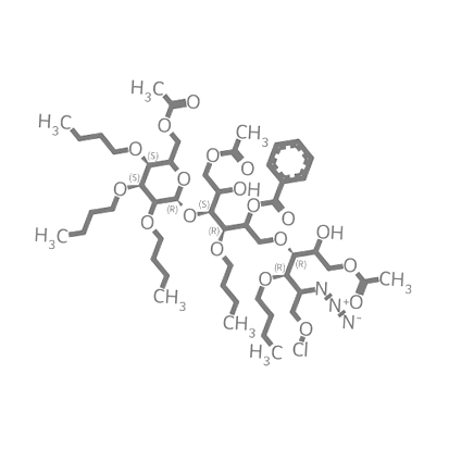 CCCCOC1[C@@H](O[C@@H](C(O)COC(C)=O)[C@H](OCCCC)C(CO[C@H](C(O)COC(C)=O)[C@H](OCCCC)C(COCl)N=[N+]=[N-])OC(=O)c2ccccc2)OC(COC(C)=O)[C@H](OCCCC)[C@@H]1OCCCC